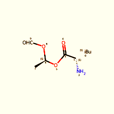 CC[C@H](C)[C@H](N)C(=O)O[C@@H](C)OC=O